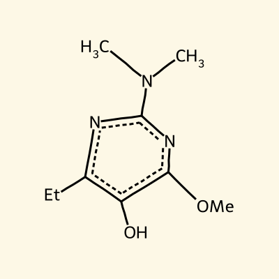 CCc1nc(N(C)C)nc(OC)c1O